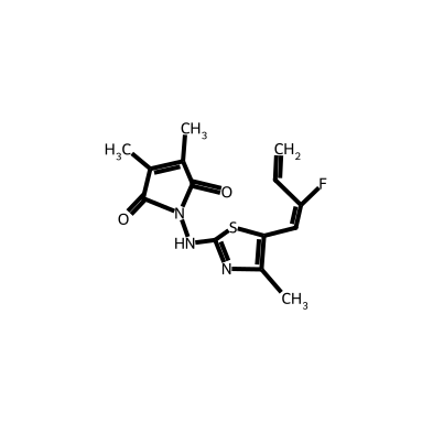 C=C/C(F)=C\c1sc(NN2C(=O)C(C)=C(C)C2=O)nc1C